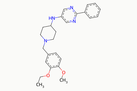 CCOc1cc(CN2CCC(Nc3cnc(-c4ccccc4)nc3)CC2)ccc1OC